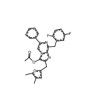 CC(=O)Oc1c(Cc2cc(C)c(C)o2)nc2c(Cc3cc(F)ccc3F)nc(-c3ccccc3)cn12